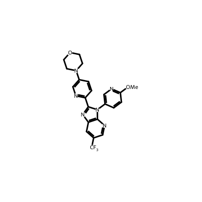 COc1ccc(-n2c(-c3ccc(N4CCOCC4)cn3)nc3cc(C(F)(F)F)cnc32)cn1